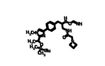 CC(O[Si](C)(C)C(C)(C)C)c1nc(-c2ccc(CC(BOC=N)CNC(=O)CN3CCC3)cc2)cn1C